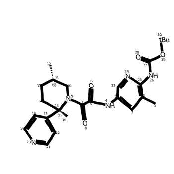 Cc1cc(NC(=O)C(=O)N2C[C@@H](C)CC[C@@]2(C)c2ccncc2)cnc1NC(=O)OC(C)(C)C